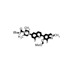 COCOc1c(-c2ccc3cc(N4C[C@@H](C)N(C(=O)OC(C)(C)C)[C@@H](C)C4)cc(F)c3n2)cc2cn(C)nc2c1F